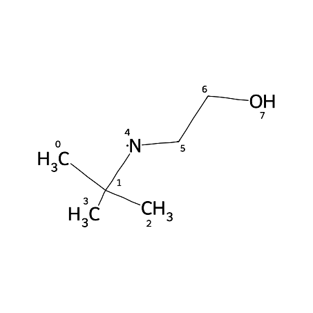 CC(C)(C)[N]CCO